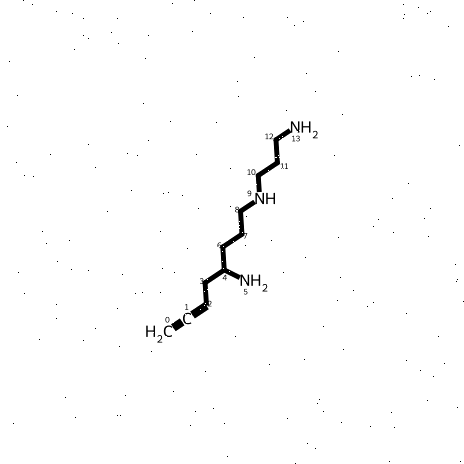 C=C=CCC(N)CCCNCCCN